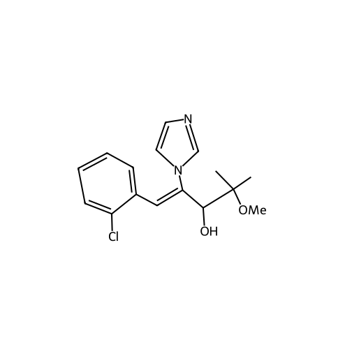 COC(C)(C)C(O)/C(=C/c1ccccc1Cl)n1ccnc1